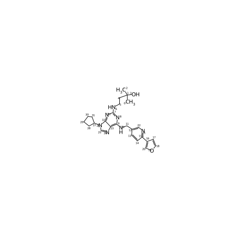 CC(C)(O)CCNc1nc(NCc2ccc(-c3ccoc3)nc2)c2ncn(C3CCCC3)c2n1